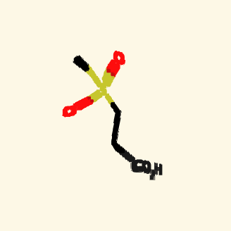 CS(=O)(=O)CCC(=O)O